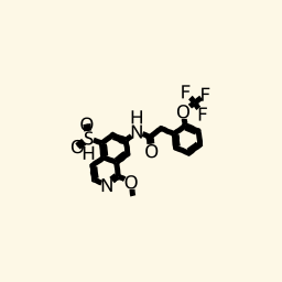 COc1nccc2c([SH](=O)=O)cc(NC(=O)Cc3ccccc3OC(F)(F)F)cc12